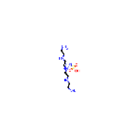 NCCNCCNCCNCCN.NS(=O)(=O)O